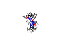 CCCC(C)(CC)CNC(=O)C(C)(C)CC(C)(N)C(=O)N1CCN(C(=O)C(C)(C)CC(C)(C)C(=O)O)CC1